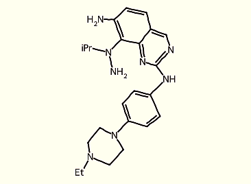 CCN1CCN(c2ccc(Nc3ncc4ccc(N)c(N(N)C(C)C)c4n3)cc2)CC1